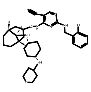 N#Cc1cnc(NCc2ccccc2Cl)nc1NCC1C[C@H]2CCC[C@@H](C1)[C@@H]2N[C@H]1CC[C@@H](NC2CCOCC2)CC1